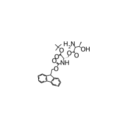 C[C@@H](O)[C@H](N)C(=O)OC[C@H](NC(=O)OCC1c2ccccc2-c2ccccc21)C(=O)OC(C)(C)C